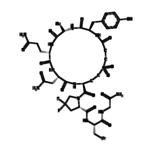 CC[C@H](C)[C@@H]1NC(=O)[C@@H](Cc2ccc(O)cc2)NC(=O)CCS(=O)(=O)CC[C@@H](C(=O)N2CC(F)(F)C[C@H]2C(=O)N[C@@H](CC(C)C)C(=O)NCC(N)=O)NC(=O)[C@H](CC(N)=O)NC(=O)[C@H](CCC(N)=O)NC1=O